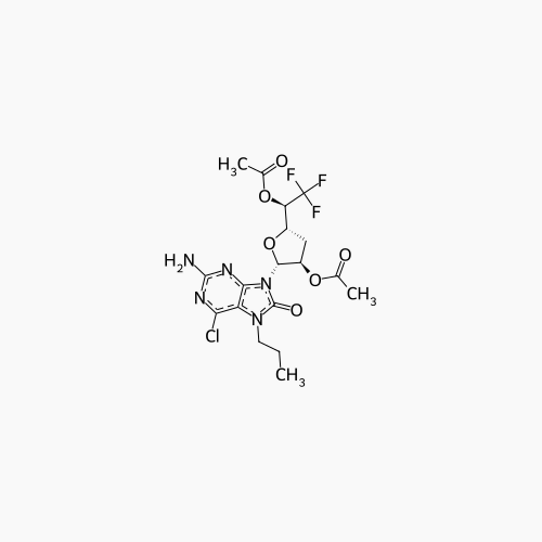 CCCn1c(=O)n([C@@H]2O[C@H]([C@@H](OC(C)=O)C(F)(F)F)C[C@H]2OC(C)=O)c2nc(N)nc(Cl)c21